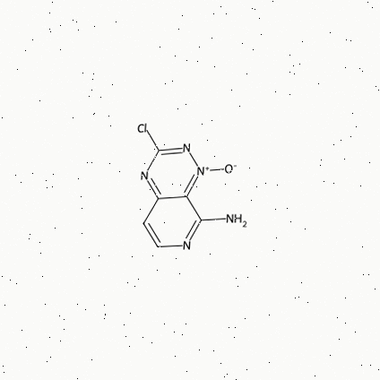 Nc1nccc2nc(Cl)n[n+]([O-])c12